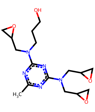 Cc1nc(N(CCCO)CC2CO2)nc(N(CC2CO2)CC2CO2)n1